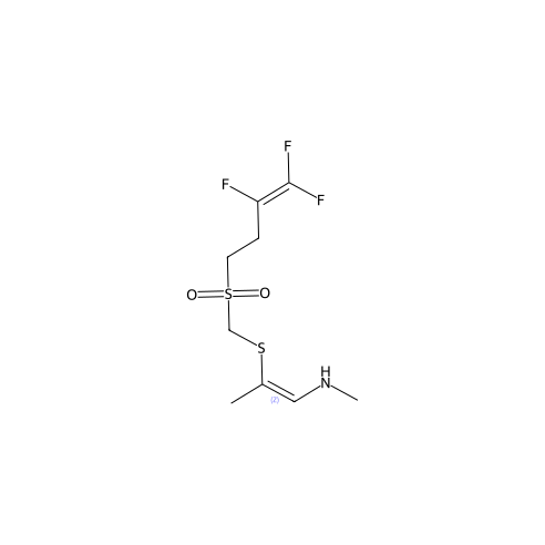 CN/C=C(/C)SCS(=O)(=O)CCC(F)=C(F)F